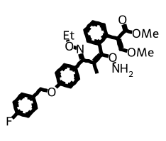 CCON=C(C(C)=C(ON)c1ccccc1C(=COC)C(=O)OC)c1ccc(OCc2ccc(F)cc2)cc1